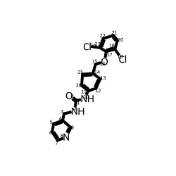 O=C(NCc1cccnc1)Nc1ccc(COc2c(Cl)cccc2Cl)cc1